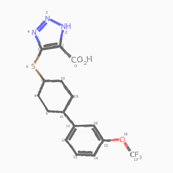 O=C(O)c1[nH]nnc1SC1CCC(c2cccc(OC(F)(F)F)c2)CC1